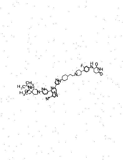 CCC1(C(=O)NC(C)C)CCN(c2ccc(-c3nc(-c4cnn(C5CCC(CCN6CCC(c7ccc(NC8CCC(=O)NC8=O)cc7F)CC6)CC5)c4)cn4ncc(C#N)c34)cn2)CC1